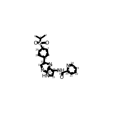 CC(C)S(=O)(=O)c1ccc(-c2cnc3[nH]cc(NC(=O)c4ccccn4)c3n2)cc1